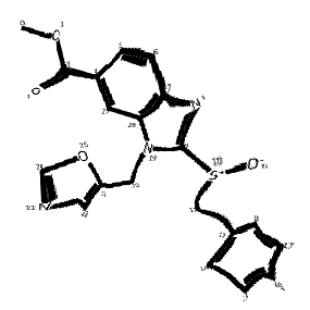 COC(=O)c1ccc2nc([S+]([O-])Cc3ccccc3)n(Cc3cnco3)c2c1